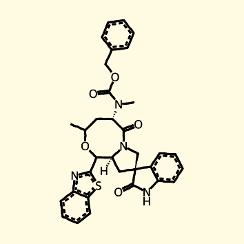 CC1C[C@H](N(C)C(=O)OCc2ccccc2)C(=O)N2C[C@]3(C[C@H]2C(c2nc4ccccc4s2)O1)C(=O)Nc1ccccc13